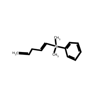 C=CCC=C[Si](C)(C)c1ccccc1